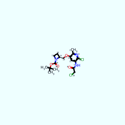 Cc1nc(Cl)c(NC(=O)CCl)cc1OC[C@@H]1CCN1C(=O)OC(C)(C)C